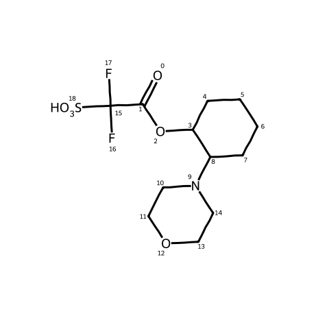 O=C(OC1CCCCC1N1CCOCC1)C(F)(F)S(=O)(=O)O